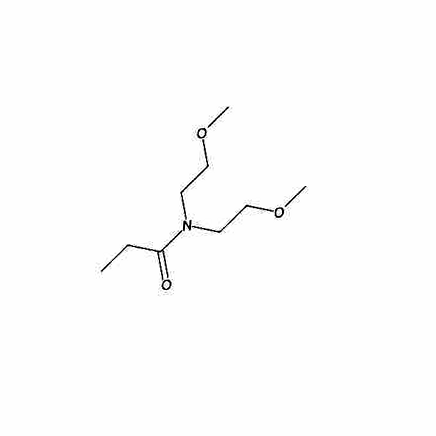 CCC(=O)N(CCOC)CCOC